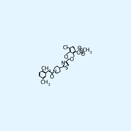 Cc1ccc(C)c(CC(=O)N2CCC(c3nc(C4OCc5c(Cl)ccc(OS(C)(=O)=O)c5CO4)cs3)CC2)c1